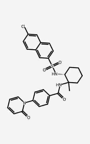 CC1(NC(=O)c2ccc(-n3ccccc3=O)cc2)CCCC[C@H]1NS(=O)(=O)c1ccc2cc(Cl)ccc2c1